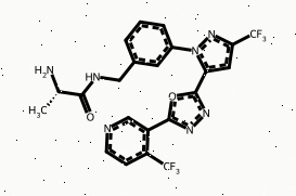 C[C@H](N)C(=O)NCc1cccc(-n2nc(C(F)(F)F)cc2-c2nnc(-c3cnccc3C(F)(F)F)o2)c1